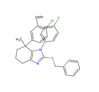 COc1cc(C2(C)CCCc3nc(SCc4ccccc4)n(-c4ccc(F)cc4)c32)ccc1Cl